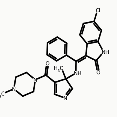 CN1CCN(C(=O)C2=CN=CC2(C)N/C(=C2\C(=O)Nc3cc(Cl)ccc32)c2ccccc2)CC1